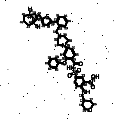 O=C(NS(=O)(=O)c1ccc(NCC2CCOCC2)c([N+](=O)O)c1)c1ccc(N2CCN(Cc3ccccc3-c3ccc(CN4[C@@H]5CCC[C@H]4CC5)s3)CC2)cc1Oc1ccccc1